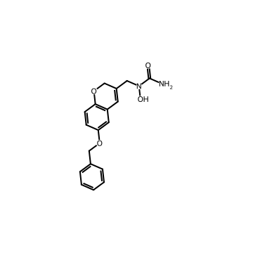 NC(=O)N(O)CC1=Cc2cc(OCc3ccccc3)ccc2OC1